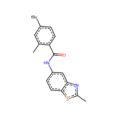 Cc1nc2cc(NC(=O)c3ccc(C(C)(C)C)cc3C)ccc2s1